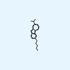 CCCCCc1ccc2cc3cc(C(C)C)cccc-3c2c1